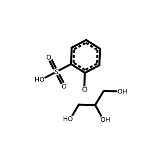 O=S(=O)(O)c1ccccc1Cl.OCC(O)CO